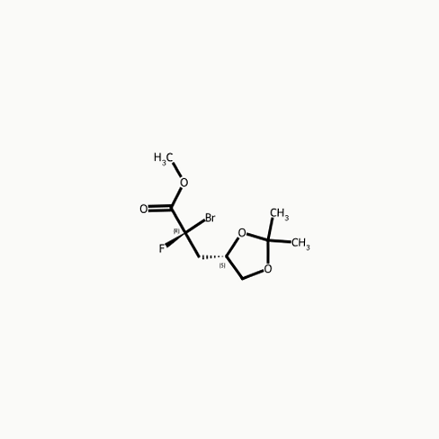 COC(=O)[C@](F)(Br)C[C@H]1COC(C)(C)O1